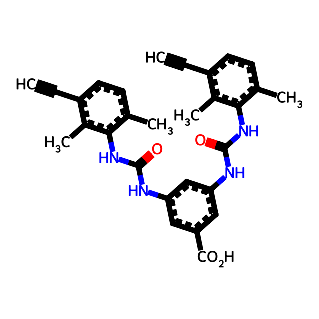 C#Cc1ccc(C)c(NC(=O)Nc2cc(NC(=O)Nc3c(C)ccc(C#C)c3C)cc(C(=O)O)c2)c1C